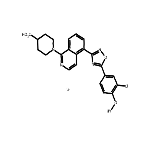 CC(C)Oc1ccc(-c2nc(-c3cccc4c(N5CCC(C(=O)O)CC5)nccc34)no2)cc1Cl.[Li]